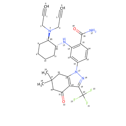 C#CCN(CC#C)[C@@H]1CCCC[C@H]1Nc1cc(-n2nc(C(F)(F)F)c3c2CC(C)(C)CC3=O)ccc1C(N)=O